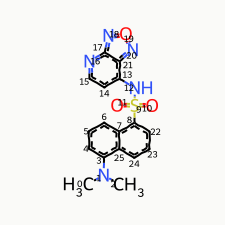 CN(C)c1cccc2c(S(=O)(=O)Nc3ccnc4nonc34)cccc12